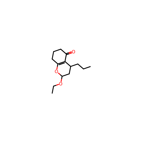 CCCC1CC(OCC)OC2=C1C(=O)CCC2